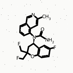 Cc1cc2c(N(C(N)=O)[C@@H]3CC(CF)(CF)Oc4ccc(F)cc43)cccc2cn1